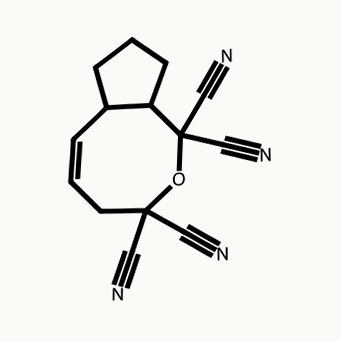 N#CC1(C#N)CC=CC2CCCC2C(C#N)(C#N)O1